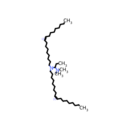 CCCCCCCC/C=C\CCCCCCCCN(CCCCCCCC/C=C\CCCCCCCC)C(CC)N(C)C